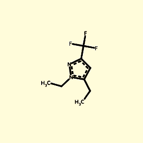 CCc1cc(C(F)(F)F)nn1CC